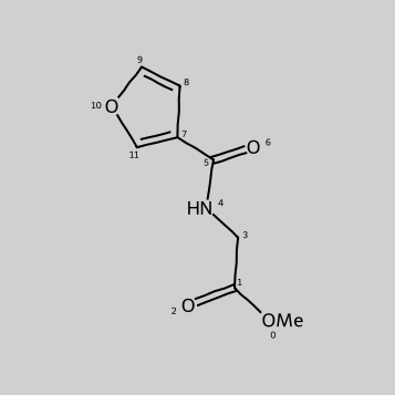 COC(=O)CNC(=O)c1ccoc1